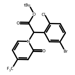 CC(C)(C)OC(=O)C(c1cc(Br)ccc1Cl)n1ccc(C(F)(F)F)cc1=O